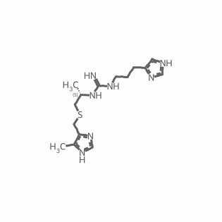 Cc1[nH]cnc1CSC[C@H](C)NC(=N)NCCCc1c[nH]cn1